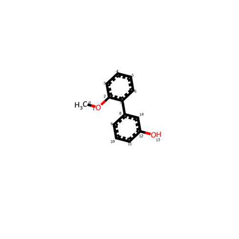 COc1c[c]ccc1-c1cccc(O)c1